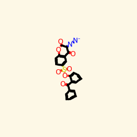 [N-]=[N+]=C1C(=O)Oc2ccc(S(=O)(=O)Oc3ccccc3C(=O)c3ccccc3)cc2C1=O